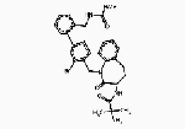 CNC(=O)NCc1ccccc1-c1ccc(CN2C(=O)[C@H](NC(=O)C(C)(C)N)CCc3ccccc32)c(Br)c1